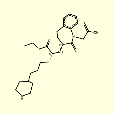 CCOC(=O)[C@@H](CCCCC1CCNCC1)N[C@H]1CCc2ccccc2N(CC(=O)O)C1=O